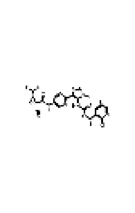 C[C@@H](OC(=O)Nc1c(-c2ncc(NC(=O)[C@@]3(C#N)C[C@@H]3C(F)F)cn2)nnn1C)c1cc(F)cnc1Cl